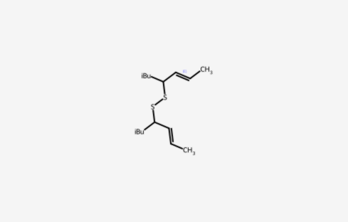 CC=CC(SSC(/C=C/C)C(C)CC)C(C)CC